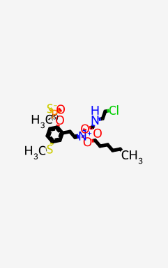 CCCCCCO[N+](=CCc1cc(SC)ccc1O[P@](C)(=O)[S-])OC(=O)NCCCl